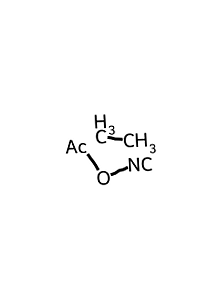 CC.[C-]#[N+]OC(C)=O